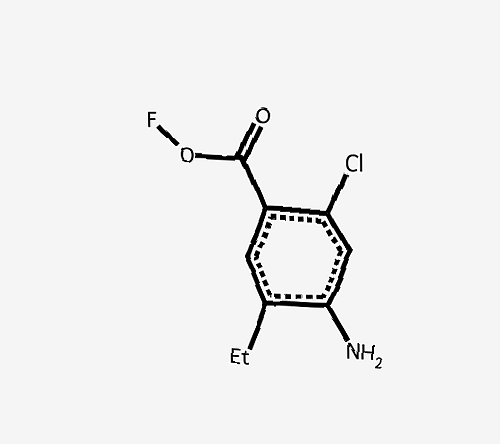 CCc1cc(C(=O)OF)c(Cl)cc1N